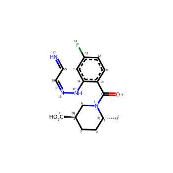 C[C@@H]1CC[C@@H](C(=O)O)CN1C(=O)c1ccc(F)cc1N/N=C\C=N